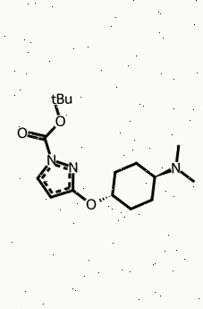 CN(C)[C@H]1CC[C@H](Oc2ccn(C(=O)OC(C)(C)C)n2)CC1